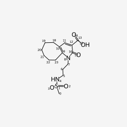 CS(=O)(=O)NCCCn1c2c(cc(C(=O)O)c1=O)CCCCCC2